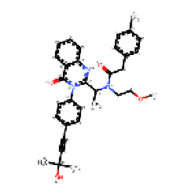 CCOCCN(C(=O)Cc1ccc(C(F)(F)F)cc1)C(C)c1nc2ccccc2c(=O)n1-c1ccc(C#CC(C)(C)O)cc1